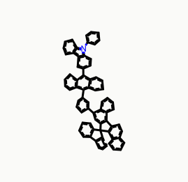 c1ccc(-n2c3ccccc3c3cc(-c4c5ccccc5c(-c5cccc(-c6cc7c(c8ccccc68)-c6ccc8ccccc8c6C76c7ccccc7-c7ccccc76)c5)c5ccccc45)ccc32)cc1